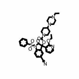 CCOc1ncccc1C1(OC(=O)N2CCC(N3CCN(CC)CC3)CC2)C(=O)N(S(=O)(=O)c2ccccc2)c2ccc(C#N)cc21